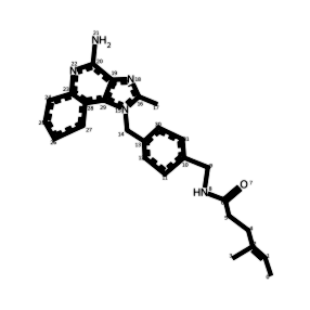 C/C=C(\C)CCC(=O)NCc1ccc(Cn2c(C)nc3c(N)nc4ccccc4c32)cc1